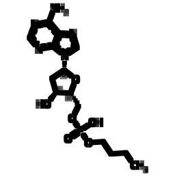 CCCCOP(=O)(O)OC[C@H]1O[C@@H](n2cnc3c(N)ncnc32)C[C@@H]1O